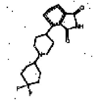 O=C1NC(=O)c2c1cccc2C1CCN(C2CCC(F)(F)CC2)CC1